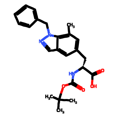 Cc1cc(C[C@@H](NC(=O)OC(C)(C)C)C(=O)O)cc2cnn(Cc3ccccc3)c12